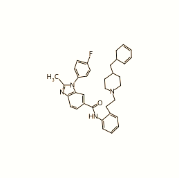 Cc1nc2ccc(C(=O)Nc3ccccc3CCN3CCC(CC4C=CC=CC4)CC3)cc2n1-c1ccc(F)cc1